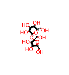 OC[C@@H]1O[C@@](CO)(O[C@@H]2O[C@@H](CO)[C@@H](O)[C@H](O)[C@@H]2O)[C@@H](O)[C@@H]1O